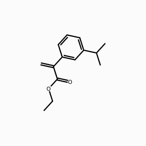 C=C(C(=O)OCC)c1cccc(C(C)C)c1